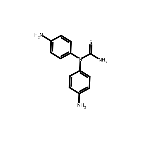 NC(=S)N(c1ccc(N)cc1)c1ccc(N)cc1